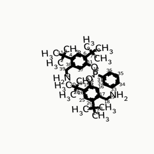 CC(C)(C)c1cc(C(C)(C)C)c(OP(Oc2cc(CN)c(C(C)(C)C)cc2C(C)(C)C)c2ccccc2)cc1CN